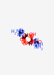 COC1C2OP(=O)(O)OC[C@H]3O[C@@H](n4cnc5c(=O)[nH]c(N)nc54)C(OP(=O)(O)OC[C@H]2O[C@H]1n1cnc2c(N)ncnc21)C3O